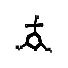 CCS(=O)(=O)c1cc(N)nc(N)c1